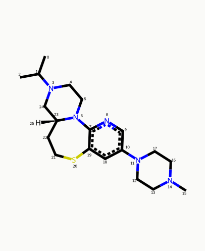 CC(C)N1CCN2c3ncc(N4CCN(C)CC4)cc3SCC[C@@H]2C1